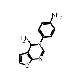 Nc1ccc(N2C=Nc3occc3C2N)cc1